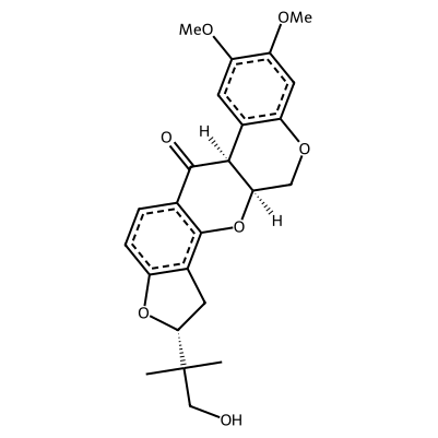 COc1cc2c(cc1OC)[C@@H]1C(=O)c3ccc4c(c3O[C@@H]1CO2)C[C@H](C(C)(C)CO)O4